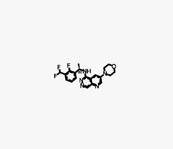 C[C@@H](Nc1nncc2ncc(N3CCOCC3)cc12)c1cccc(C(F)F)c1F